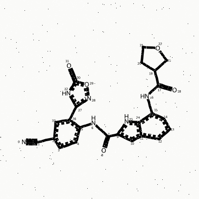 N#Cc1ccc(NC(=O)c2cc3cccc(NC(=O)C4CCOC4)c3[nH]2)c(-c2noc(=O)[nH]2)c1